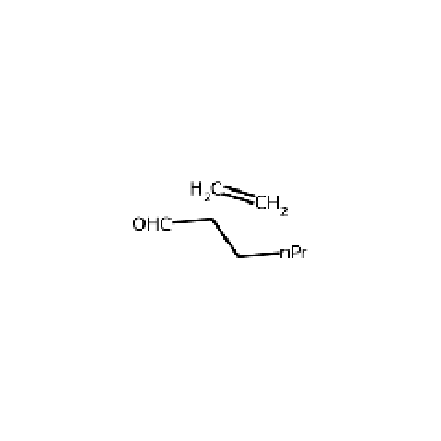 C=C.CCCCCC=O